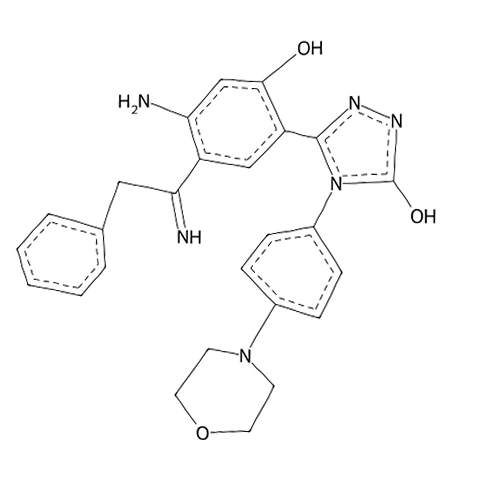 N=C(Cc1ccccc1)c1cc(-c2nnc(O)n2-c2ccc(N3CCOCC3)cc2)c(O)cc1N